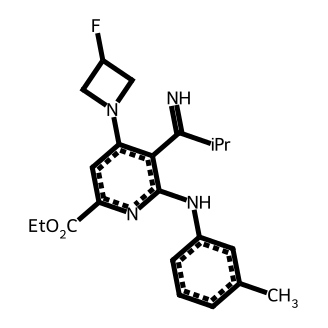 CCOC(=O)c1cc(N2CC(F)C2)c(C(=N)C(C)C)c(Nc2cccc(C)c2)n1